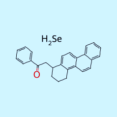 O=C(CC1CCCc2c1ccc1c2ccc2ccccc21)c1ccccc1.[SeH2]